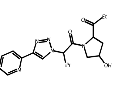 CCC(=O)C1CC(O)CN1C(=O)C(C(C)C)n1cc(-c2ccccn2)nn1